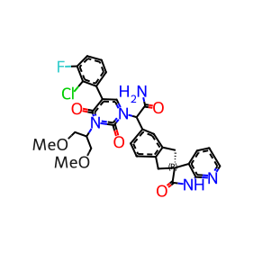 COCC(COC)n1c(=O)c(-c2cccc(F)c2Cl)cn(C(C(N)=O)c2ccc3c(c2)C[C@@]2(C3)C(=O)Nc3ncccc32)c1=O